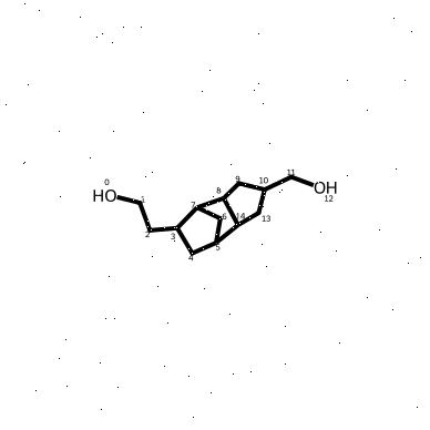 OCCC1CC2CC1C1CC(CO)CC21